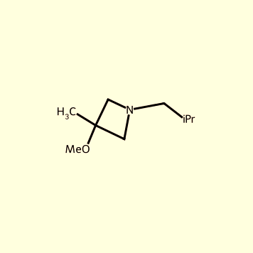 COC1(C)CN(CC(C)C)C1